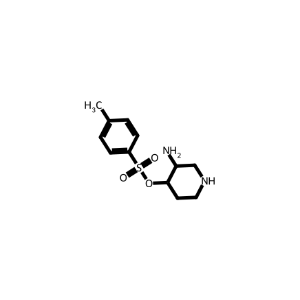 Cc1ccc(S(=O)(=O)OC2CCNCC2N)cc1